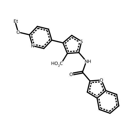 CCOc1ccc(-c2csc(NC(=O)c3cc4ccccc4o3)c2C(=O)O)cn1